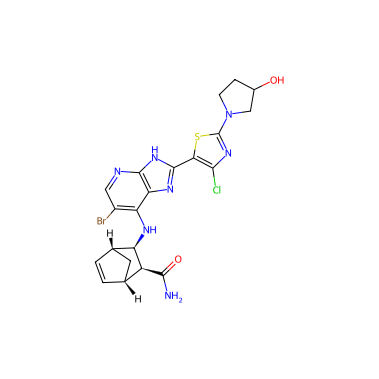 NC(=O)[C@@H]1[C@H](Nc2c(Br)cnc3[nH]c(-c4sc(N5CCC(O)C5)nc4Cl)nc23)[C@H]2C=C[C@@H]1C2